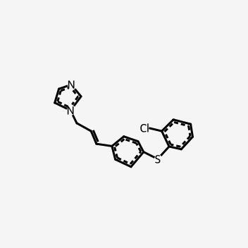 Clc1ccccc1Sc1ccc(C=CCn2ccnc2)cc1